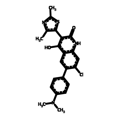 Cc1nc(C)c(-c2c(O)c3cc(-c4ccc(N(C)C)cc4)c(Cl)cc3[nH]c2=O)s1